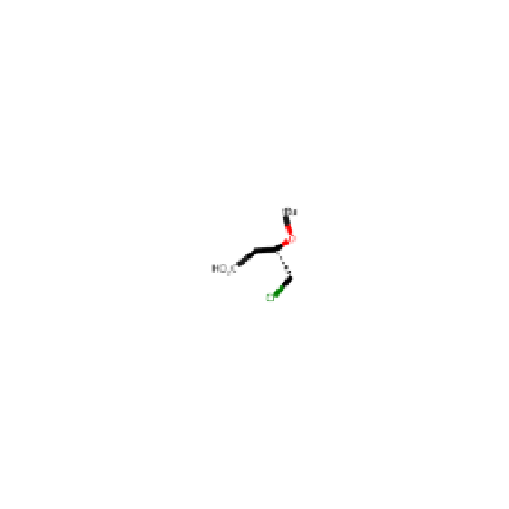 CC(C)(C)O[C@H](CCl)CC(=O)O